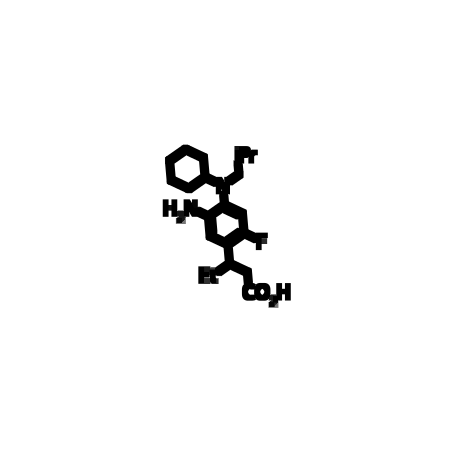 CCC(CC(=O)O)c1cc(N)c(N(CC(C)C)C2CCCCC2)cc1F